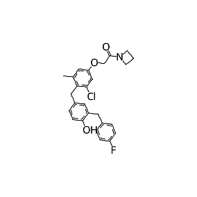 Cc1cc(OCC(=O)N2CCC2)cc(Cl)c1Cc1ccc(O)c(Cc2ccc(F)cc2)c1